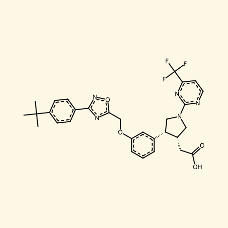 CC(C)(C)c1ccc(-c2noc(COc3cccc([C@@H]4CN(c5nccc(C(F)(F)F)n5)C[C@@H]4CC(=O)O)c3)n2)cc1